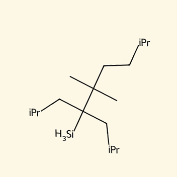 CC(C)CCC(C)(C)C([SiH3])(CC(C)C)CC(C)C